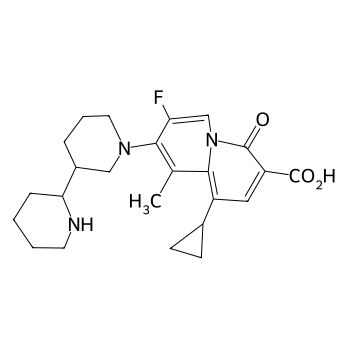 Cc1c(N2CCCC(C3CCCCN3)C2)c(F)cn2c(=O)c(C(=O)O)cc(C3CC3)c12